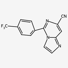 N#Cc1cc2nccn2c(-c2ccc(C(F)(F)F)cc2)n1